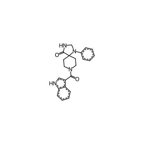 O=C(c1c[nH]c2ccccc12)N1CCC2(CC1)C(=O)NCN2c1ccccc1